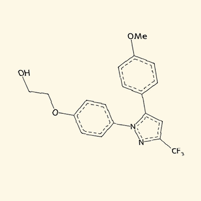 COc1ccc(-c2cc(C(F)(F)F)nn2-c2ccc(OCCO)cc2)cc1